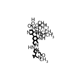 Cc1c(-c2cc3cc(Nc4cc5n(n4)CC(=O)N(C)CC54CC4)ncc3c(NC(=O)OC(C)(C)C)c2F)cncc1N(C(=O)O)C(=O)OC(C)(C)C